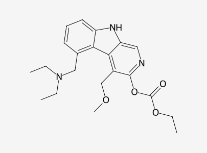 CCOC(=O)Oc1ncc2[nH]c3cccc(CN(CC)CC)c3c2c1COC